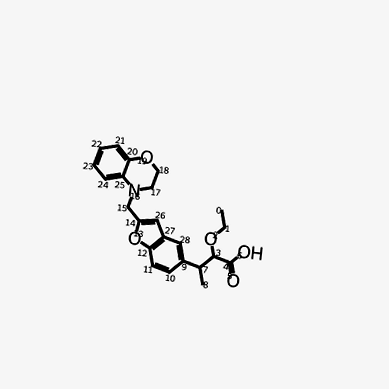 CCOC(C(=O)O)C(C)c1ccc2oc(CN3CCOc4ccccc43)cc2c1